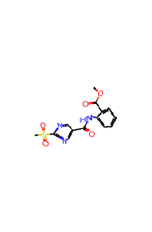 COC(=O)c1ccccc1NC(=O)c1cnc(S(C)(=O)=O)nc1